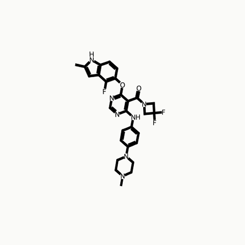 Cc1cc2c(F)c(Oc3ncnc(Nc4ccc(N5CCN(C)CC5)cc4)c3C(=O)N3CC(F)(F)C3)ccc2[nH]1